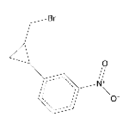 O=[N+]([O-])c1cccc(C2CC2CBr)c1